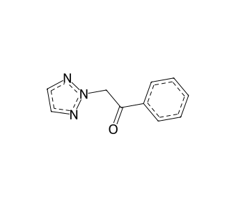 O=C(Cn1nccn1)c1ccccc1